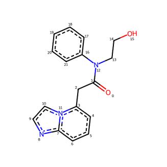 O=C(Cc1cccc2nccn12)N(CCO)c1ccccc1